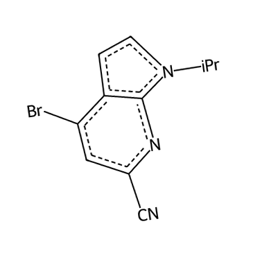 CC(C)n1ccc2c(Br)cc(C#N)nc21